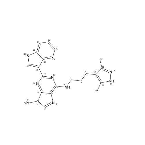 CCCn1cnc2c(NCCCc3c(C)n[nH]c3C)nc(-c3csc4ccccc34)nc21